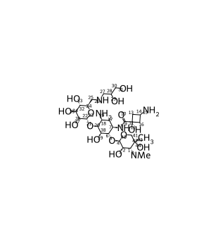 CN[C@@H]1[C@@H](O)[C@@H](O[C@H]2[C@H](NC(=O)C3(O)CC(N)C3)C[C@H](N)C(O[C@H]3O[C@H](CNCC(O)CO)[C@@H](O)[C@H](O)[C@H]3O)[C@@H]2O)OC[C@]1(C)O